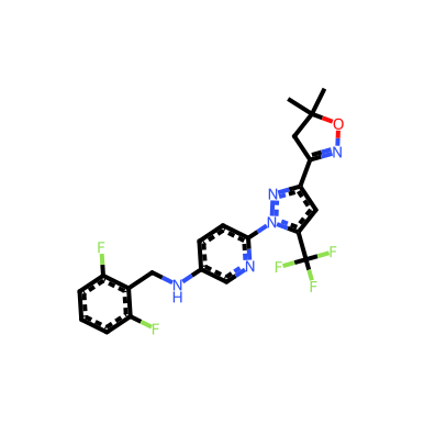 CC1(C)CC(c2cc(C(F)(F)F)n(-c3ccc(NCc4c(F)cccc4F)cn3)n2)=NO1